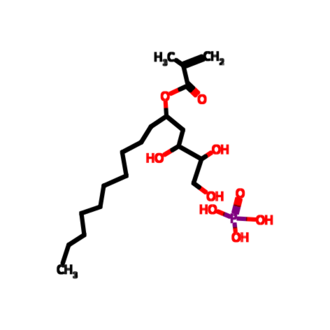 C=C(C)C(=O)OC(CCCCCCCCCC)CC(O)C(O)CO.O=P(O)(O)O